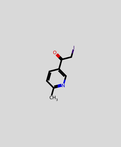 Cc1ccc(C(=O)CI)cn1